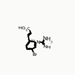 N=C(N)N.O=C(O)C=Cc1ccc(Br)cc1